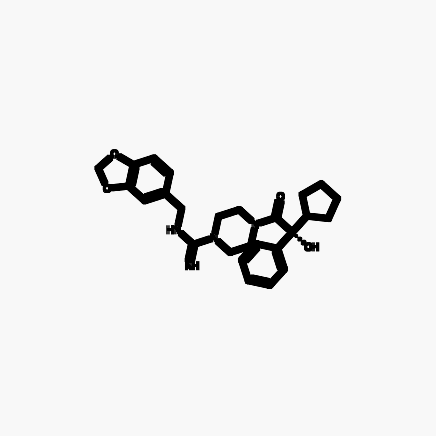 N=C(NCc1ccc2c(c1)OCO2)N1CCN(C(=O)[C@](O)(c2ccccc2)C2CCCC2)CC1